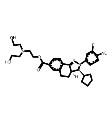 [C-]#[N+]c1ccc(N2N=C3c4ccc(C(=O)OCCN(CCO)CCO)cc4CC[C@@H]3[C@@H]2C2CCCC2)cc1Cl